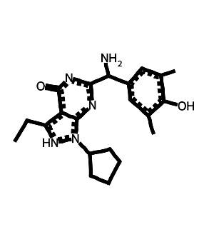 CCc1[nH]n(C2CCCC2)c2nc(C(N)c3cc(C)c(O)c(C)c3)nc(=O)c1-2